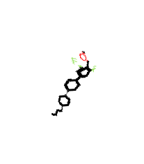 CCCC[C@H]1CC[C@H](C2CCC(c3cc(F)c(COC)c(F)c3)CC2)CC1